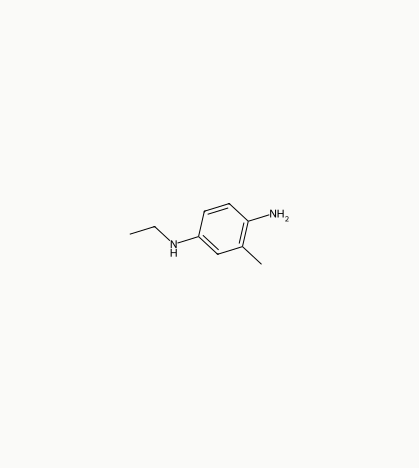 CCNc1ccc(N)c(C)c1